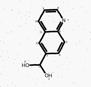 OC(O)c1ccc2ncccc2c1